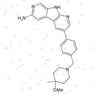 COC1(C)CCN(Cc2ccc(-c3cnc4[nH]c5cnc(N)cc5c4c3)cc2)CC1